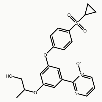 CC(CO)Oc1cc(Oc2ccc(S(=O)(=O)C3CC3)cc2)cc(-c2nccc[n+]2[O-])c1